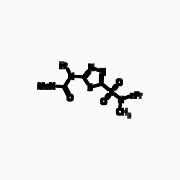 CCCN(C)S(=O)(=O)c1nnc(N(CC)C(=O)NC)s1